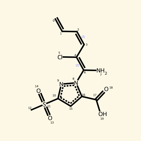 C=C/C=C\C(Cl)=C(/N)n1nc(S(C)(=O)=O)cc1C(=O)O